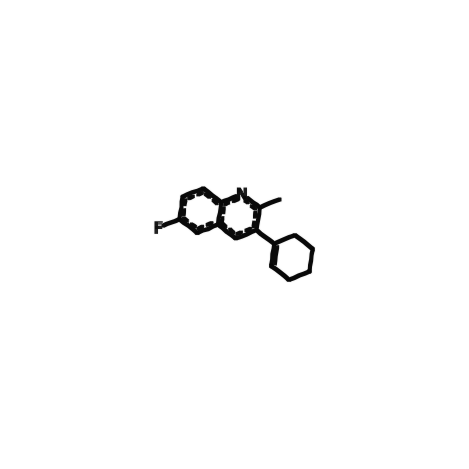 Cc1nc2ccc(F)cc2cc1C1=CCCCC1